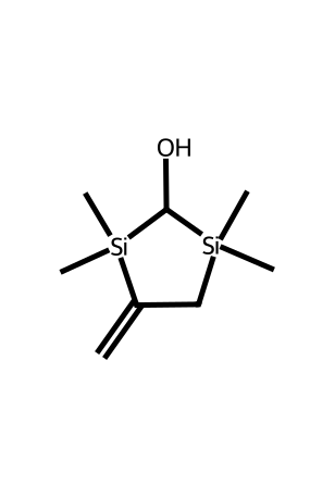 C=C1C[Si](C)(C)C(O)[Si]1(C)C